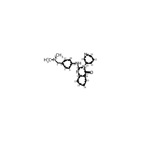 CN(C)Cc1ccc(Nc2nc3ccccc3c(=O)n2-c2cccnc2)cc1